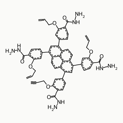 C#CCOc1cc(-c2cc(-c3ccc(C(=O)NN)c(OCC=C)c3)c3ccc4c(-c5ccc(C(=O)NN)c(OCC=C)c5)cc(-c5ccc(C(=O)NN)c(OCC=C)c5)c5ccc2c3c54)ccc1C(=O)NN